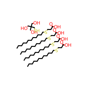 CCCCCCCCCCCCSCCC(=O)O.CCCCCCCCCCCCSCCC(=O)O.CCCCCCCCCCCCSCCC(=O)O.CCCCCCCCCCCCSCCC(=O)O.OCC(CO)(CO)CS